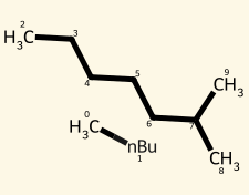 CCCCC.CCCCCC(C)C